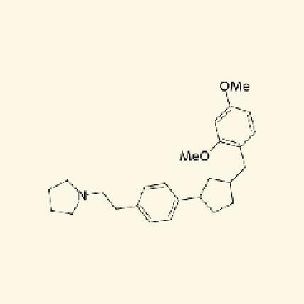 COc1ccc(CC2CCC(c3ccc(CCN4CCCC4)cc3)C2)c(OC)c1